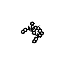 c1ccc(-c2nc(-c3ccc4ccccc4c3)nc(-c3ccc(-n4c5ccccc5c5cc6ccccc6cc54)cc3-c3cccc4sc5cc6ccccc6cc5c34)n2)cc1